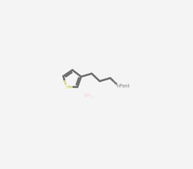 B.CCCCCCCCc1ccsc1